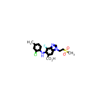 Cc1ccc(Nc2c(C(=O)O)cc3c(ncn3CCS(C)(=O)=O)c2F)c(Cl)c1